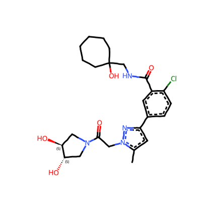 Cc1cc(-c2ccc(Cl)c(C(=O)NCC3(O)CCCCCC3)c2)nn1CC(=O)N1C[C@H](O)[C@@H](O)C1